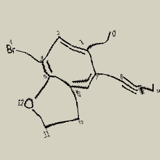 Cc1cc(Br)c2c(c1C#N)CCO2